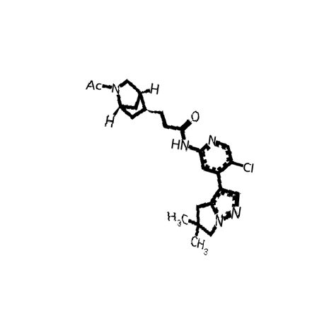 CC(=O)N1C[C@H]2C[C@@H]1C[C@@H]2CCC(=O)Nc1cc(-c2cnn3c2CC(C)(C)C3)c(Cl)cn1